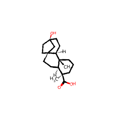 C[C@@]12CCC[C@@](C)(C(=O)O)[C@H]1CC[C@]13CC[C@](O)(CC[C@H]12)C3